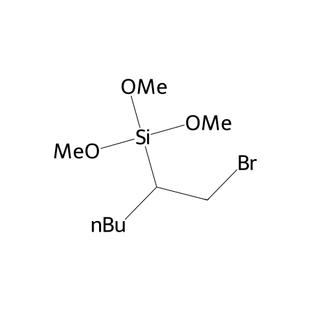 CCCCC(CBr)[Si](OC)(OC)OC